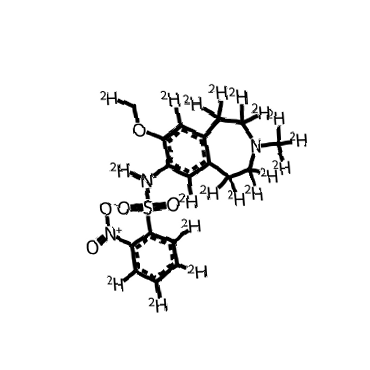 [2H]COc1c([2H])c2c(c([2H])c1N([2H])S(=O)(=O)c1c([2H])c([2H])c([2H])c([2H])c1[N+](=O)[O-])C([2H])([2H])C([2H])([2H])N(C([2H])([2H])[2H])C([2H])([2H])C2([2H])[2H]